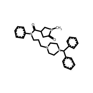 CN1CC(C(=O)N(CCCN2CCN(C(c3ccccc3)c3ccccc3)CC2)c2ccccc2)CC1=O